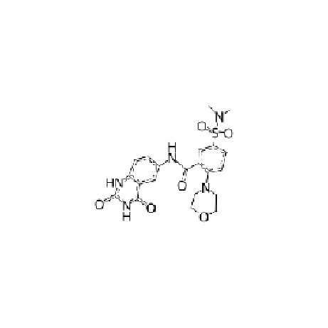 CN(C)S(=O)(=O)c1ccc(N2CCOCC2)c(C(=O)Nc2ccc3[nH]c(=O)[nH]c(=O)c3c2)c1